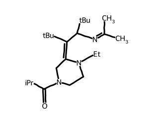 CCN1CCN(C(=O)C(C)C)C/C1=C(/C(N=C(C)C)C(C)(C)C)C(C)(C)C